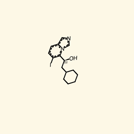 O[C@@H](CC1CCCCC1)c1c(I)ccc2cncn12